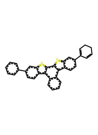 C1=CC(c2ccc3c(c2)sc2c4sc5cc(-c6ccccc6)ccc5c4c4ccccc4c32)=CCC1